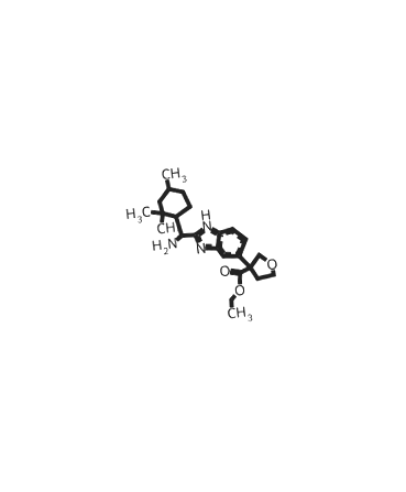 CCOC(=O)C1(c2ccc3[nH]c(C(N)C4CCC(C)CC4(C)C)nc3c2)CCOC1